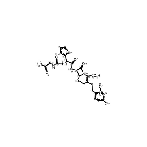 CCc1ccc(SCC2=C(C(=O)O)N3C(=O)[C@H](NC(=O)C(NC(=O)NCC(N)=O)c4cccs4)C3SC2)[n+]([O-])n1